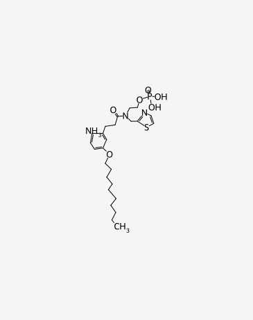 CCCCCCCCCCOc1cccc(CCC(=O)N(CCOP(=O)(O)O)Cc2nccs2)c1.N